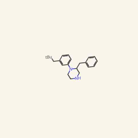 CC(C)(C)Cc1cccc(N2CCNCC2Cc2ccccc2)c1